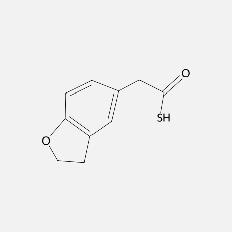 O=C(S)Cc1ccc2c(c1)CCO2